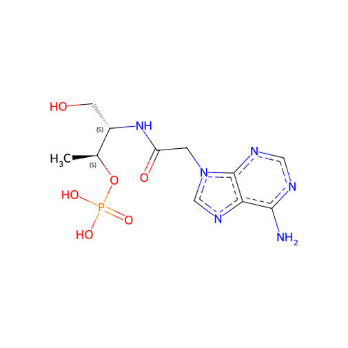 C[C@H](OP(=O)(O)O)[C@H](CO)NC(=O)Cn1cnc2c(N)ncnc21